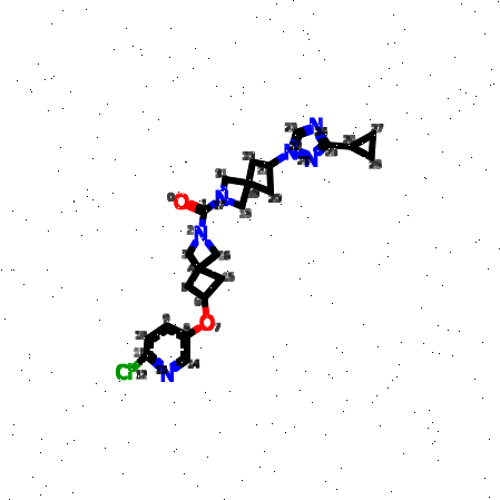 O=C(N1CC2(CC(Oc3ccc(Cl)nc3)C2)C1)N1CC2(CC(n3cnc(C4CC4)n3)C2)C1